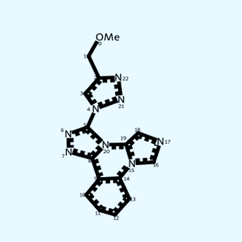 COCc1cn(-c2nnc3c4ccccc4n4cncc4n23)nn1